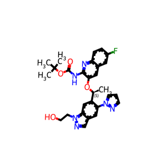 C[C@H](Oc1cc2cc(F)ccc2nc1NC(=O)OC(C)(C)C)c1cc2c(cnn2CCO)cc1-n1cccn1